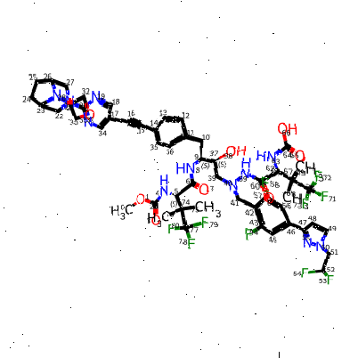 COC(=O)N[C@H](C(=O)N[C@@H](Cc1ccc(C#Cc2cnc(N3CC4CCC(C3)N4C3COC3)nc2)cc1)[C@@H](O)CN(Cc1c(F)cc(-c2ccn(CC(F)F)n2)cc1F)NC(=O)[C@@H](NC(=O)O)C(C)(C)C(F)(F)F)C(C)(C)C(F)(F)F